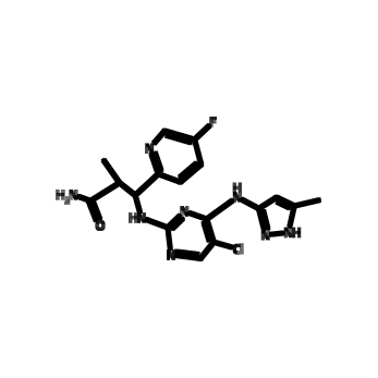 Cc1cc(Nc2nc(NC(c3ccc(F)cn3)C(C)C(N)=O)ncc2Cl)n[nH]1